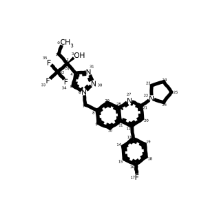 CC[C@](O)(c1cn(Cc2ccc3c(-c4ccc(F)cc4)cc(N4CCCC4)nc3c2)nn1)C(F)(F)F